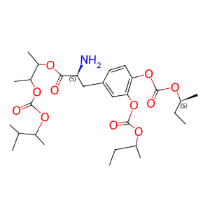 CCC(C)OC(=O)Oc1cc(C[C@H](N)C(=O)OC(C)C(C)OC(=O)OC(C)C(C)C)ccc1OC(=O)O[C@@H](C)CC